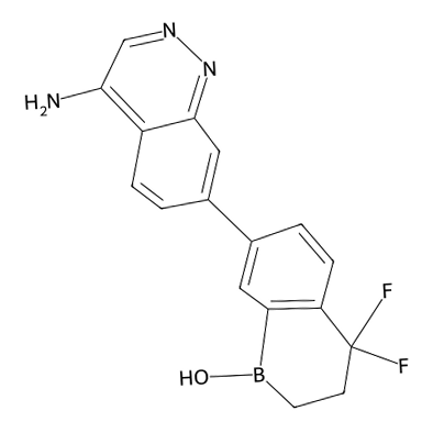 Nc1cnnc2cc(-c3ccc4c(c3)B(O)CCC4(F)F)ccc12